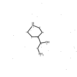 NCC(O)C1CCNCC1